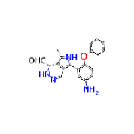 Cc1[nH]c(-c2cc(N)ccc2Oc2ccccc2)c2c1C(C=O)NN=C2